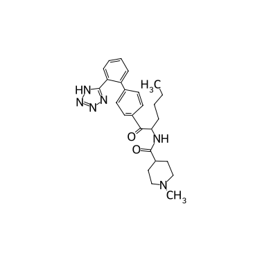 CCCCC(NC(=O)C1CCN(C)CC1)C(=O)c1ccc(-c2ccccc2-c2nnn[nH]2)cc1